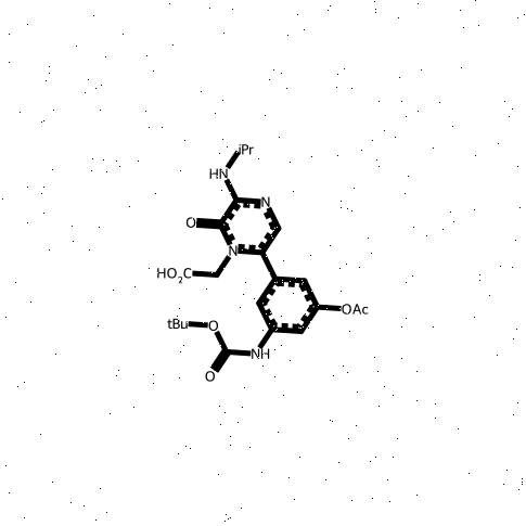 CC(=O)Oc1cc(NC(=O)OC(C)(C)C)cc(-c2cnc(NC(C)C)c(=O)n2CC(=O)O)c1